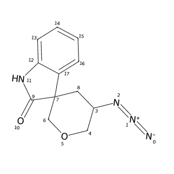 [N-]=[N+]=NC1COCC2(C1)C(=O)Nc1ccccc12